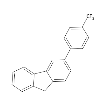 FC(F)(F)c1ccc(-c2ccc3c(c2)-c2ccccc2C3)cc1